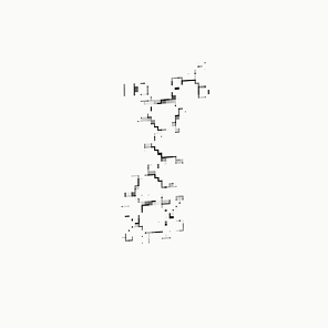 CC(=O)Oc1ccc(C=C(C)c2ccc3c(c2)C(C)(C)CCC3(C)C)cc1O